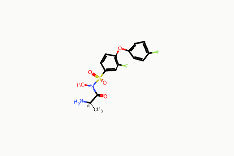 C[C@H](N)C(=O)N(O)S(=O)(=O)c1ccc(Oc2ccc(F)cc2)c(F)c1